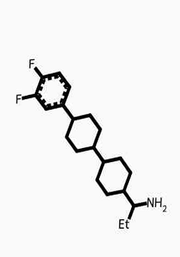 CCC(N)C1CCC(C2CCC(c3ccc(F)c(F)c3)CC2)CC1